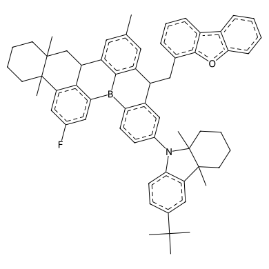 Cc1cc2c3c(c1)C1CC4(C)CCCCC4(C)c4cc(F)cc(c41)B3c1ccc(N3c4ccc(C(C)(C)C)cc4C4(C)CCCCC34C)cc1C2Cc1cccc2c1oc1ccccc12